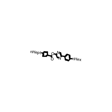 CCCCCCCc1ccc(C(=O)Oc2cnc(-c3ccc(CCCCCC)cc3)cn2)cc1